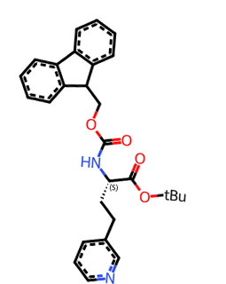 CC(C)(C)OC(=O)[C@H](CCc1cccnc1)NC(=O)OCC1c2ccccc2-c2ccccc21